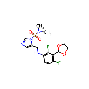 CN(C)S(=O)(=O)n1cncc1CNc1ccc(F)c(C2OCCO2)c1F